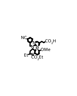 CCOC(=O)N1c2ccc(OC)nc2C(N(Cc2cccc(C#N)c2)c2ncc(CCC(=O)O)cn2)CC1CC